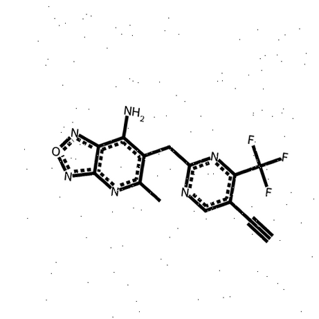 C#Cc1cnc(Cc2c(C)nc3nonc3c2N)nc1C(F)(F)F